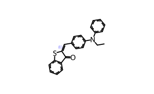 CCN(c1ccccc1)c1ccc(/C=C2/Sc3ccccc3C2=O)cc1